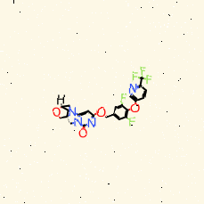 O=c1nc(OCc2cc(F)c(Oc3ccc(C(F)(F)F)nc3)c(F)c2)cc2n1C[C@@]13CO[C@@H](CN21)C3